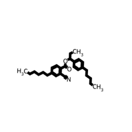 CCCCCCc1ccc(C(=O)OC(CC)c2ccc(CCCCC)cc2)c(C#N)c1